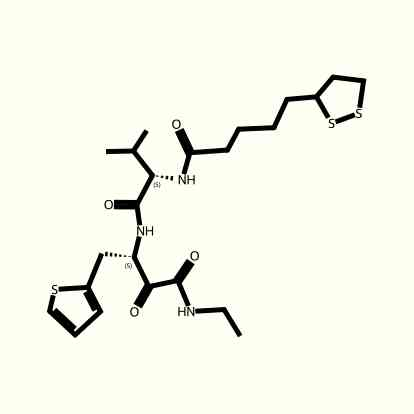 CCNC(=O)C(=O)[C@H](Cc1cccs1)NC(=O)[C@@H](NC(=O)CCCCC1CCSS1)C(C)C